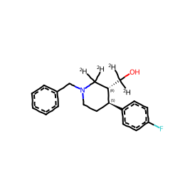 [2H]C([2H])(O)[C@@H]1[C@@H](c2ccc(F)cc2)CCN(Cc2ccccc2)C1([2H])[2H]